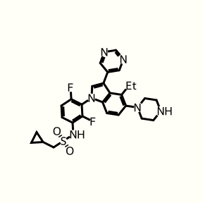 CCc1c(N2CCNCC2)ccc2c1c(-c1cncnc1)cn2-c1c(F)ccc(NS(=O)(=O)CC2CC2)c1F